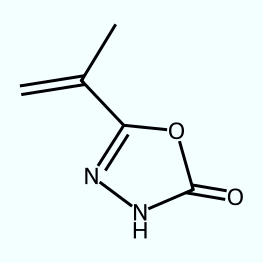 C=C(C)c1n[nH]c(=O)o1